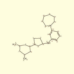 CC1CC(C)CC(N2CCC(Nc3nccc(N4CCCCCC4)n3)C2)C1